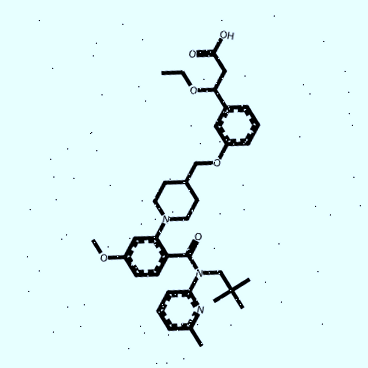 CCOC(CC(=O)O)c1cccc(OCC2CCN(c3cc(OC)ccc3C(=O)N(CC(C)(C)C)c3cccc(C)n3)CC2)c1